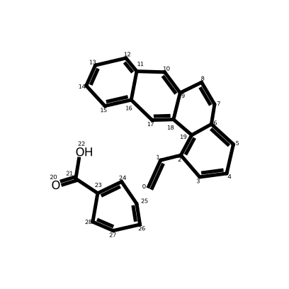 C=Cc1cccc2ccc3cc4ccccc4cc3c12.O=C(O)c1ccccc1